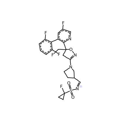 O=S(=O)(/N=C\C1CCN(C2=NOC(CF)(c3ncc(F)cc3-c3c(F)cccc3F)C2)C1)C1(F)CC1